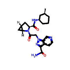 C[C@H]1CCC[C@@H](NC(=O)[C@@H]2C[C@H]3C[C@H]3N2C(=O)Cn2nc(C(N)=O)c3ccncc32)C1